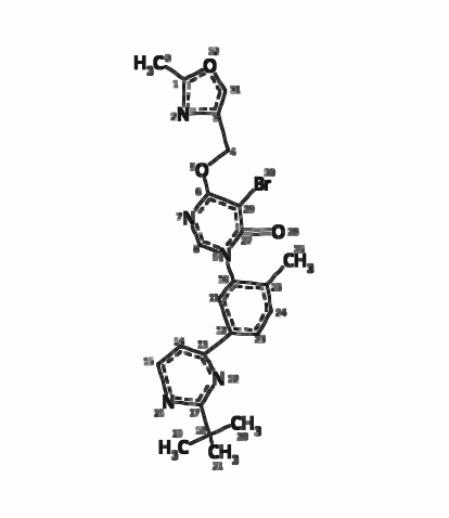 Cc1nc(COc2ncn(-c3cc(-c4ccnc(C(C)(C)C)n4)ccc3C)c(=O)c2Br)co1